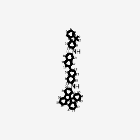 CC1(C)c2ccccc2-c2ccc(Nc3ccc4ccc(-c5ccc6cc(Nc7ccc8c(c7)C(c7ccccc7)(c7ccccc7)c7ccccc7-8)ccc6c5)cc4c3)cc21